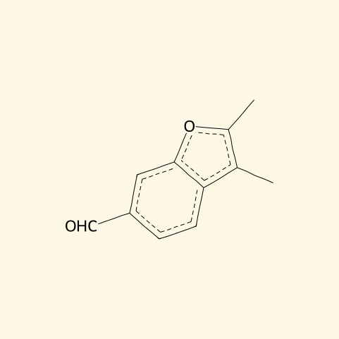 Cc1oc2cc(C=O)ccc2c1C